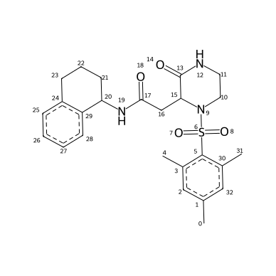 Cc1cc(C)c(S(=O)(=O)N2CCNC(=O)C2CC(=O)NC2CCCc3ccccc32)c(C)c1